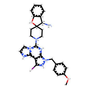 COc1ccc(Cn2nc(I)c3c2nc(N2CCC4(CC2)Oc2ccccc2[C@H]4N)n2ccnc32)cc1